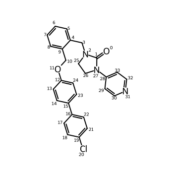 O=C1N(Cc2ccccc2COc2ccc(-c3ccc(Cl)cc3)cc2)CCN1c1ccncc1